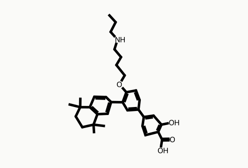 CCCNCCCCOc1ccc(-c2ccc(C(=O)O)c(O)c2)cc1-c1ccc2c(c1)C(C)(C)CCC2(C)C